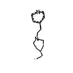 [CH2]CC1CCN(CCc2ccncc2)CC1